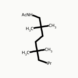 CC(=O)NCC(C)(C)CCC(C)(C)CC(C)C